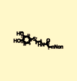 CCCCCCCCCCC(=O)NCCSc1ccc(O)c(O)c1